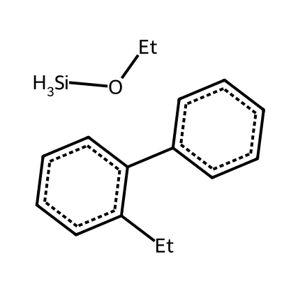 CCO[SiH3].CCc1ccccc1-c1ccccc1